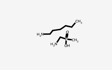 CCCCCCN.CP(=O)(O)CN